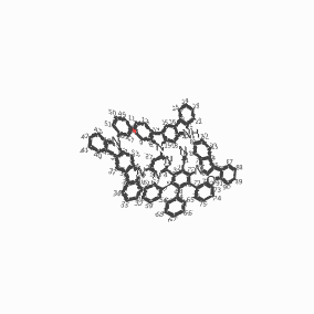 N#Cc1c(-c2nc(-n3c4ccccc4c4cc5c(cc43)[nH]c3ccccc35)cc(-n3c4ccccc4c4cc5c6ccccc6n(-c6ccccc6)c5cc43)n2)c(-c2ccccc2)c(-c2ccccc2)c(-c2ccccc2)c1-n1c2ccccc2c2c3ccccc3oc21